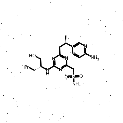 CC(C)C[C@H](CO)Nc1nc(C[C@@H](C)c2ccc(N)nc2)nc(CS(N)(=O)=O)n1